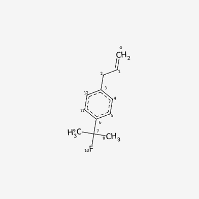 C=CCc1ccc(C(C)(C)F)cc1